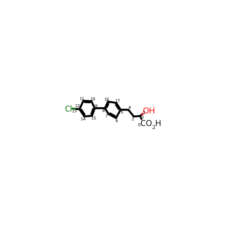 O=C(O)C(O)CCc1ccc(-c2ccc(Cl)cc2)cc1